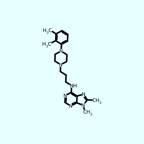 Cc1cccc(N2CCN(CCCNc3ncnc4c3nc(C)n4C)CC2)c1C